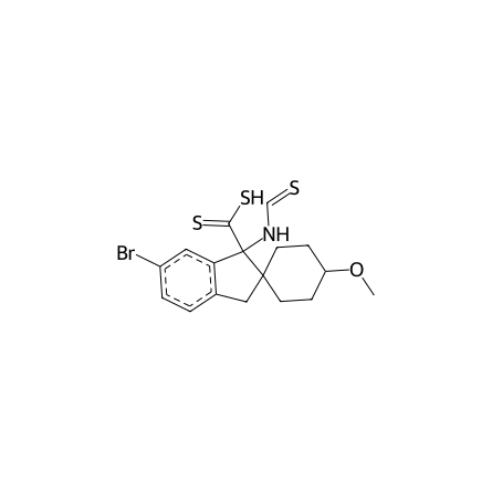 COC1CCC2(CC1)Cc1ccc(Br)cc1C2(NC=S)C(=S)S